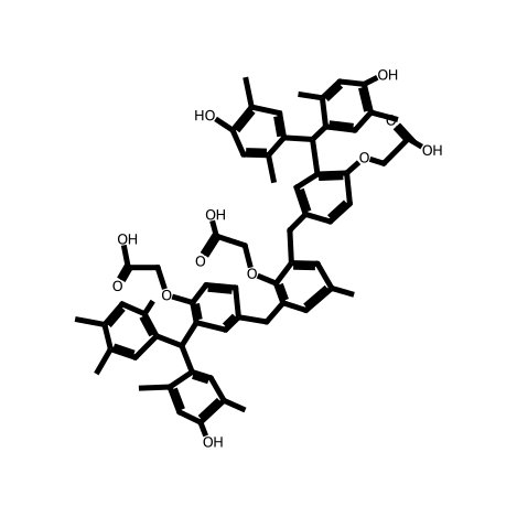 Cc1cc(Cc2ccc(OCC(=O)O)c(C(c3cc(C)c(C)cc3C)c3cc(C)c(O)cc3C)c2)c(OCC(=O)O)c(Cc2ccc(OCC(=O)O)c(C(c3cc(C)c(O)cc3C)c3cc(C)c(O)cc3C)c2)c1